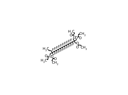 C=CCC(COC(=O)C=C)(COC(=O)C=C)C(F)(F)C(F)(F)C(F)(F)C(F)(F)C(F)(F)C(F)(F)C(F)(F)C(F)(F)C(F)(F)C(F)(F)C(COC(=O)C=C)(COC(=O)C=C)COC(=O)C=C